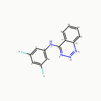 Fc1cc(F)cc(Nc2nnnc3ccccc23)c1